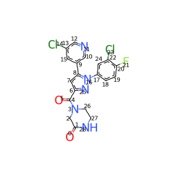 O=C1CN(C(=O)c2cc(-c3cncc(Cl)c3)n(-c3ccc(F)c(Cl)c3)n2)CCN1